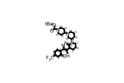 Cc1c(-c2ccc(C(F)(F)F)cc2O)nnc2c1CCCN2[C@@H]1CCCN(C2CCN(C(=O)OC(C)(C)C)CC2)C1